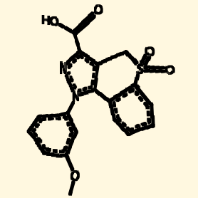 COc1cccc(-n2nc(C(=O)O)c3c2-c2ccccc2S(=O)(=O)C3)c1